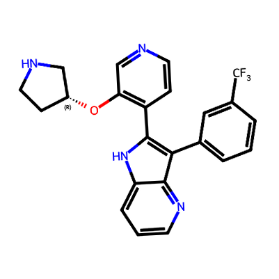 FC(F)(F)c1cccc(-c2c(-c3ccncc3O[C@@H]3CCNC3)[nH]c3cccnc23)c1